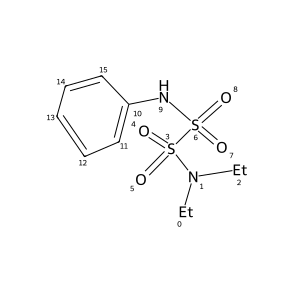 CCN(CC)S(=O)(=O)S(=O)(=O)Nc1ccccc1